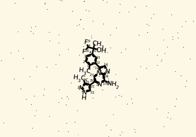 Cc1ccc(C(C)(O)C(F)F)cc1-c1cnc2c(N)nc(-c3c[nH]nc3C)cn12